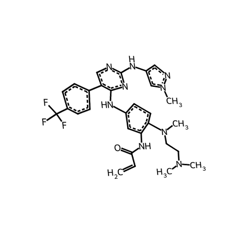 C=CC(=O)Nc1cc(Nc2nc(Nc3cnn(C)c3)ncc2-c2ccc(C(F)(F)F)cc2)ccc1N(C)CCN(C)C